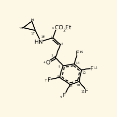 CCOC(=O)C(=CC(=O)c1c(F)c(F)c(F)c(F)c1F)NC1CC1